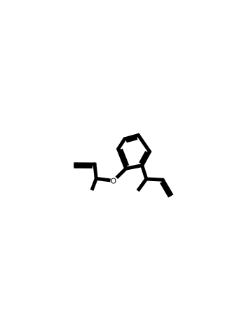 C=CC(C)Oc1ccccc1C(C)C=C